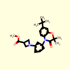 COC(=O)C1CN(c2cccc(N3C(=O)C(C)(C)Oc4cc(C(C)(C)C)ccc43)c2)C1